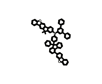 CC1(C)c2cc(N(c3ccc(C4(c5ccccc5)c5ccccc5-c5c(-c6ccc7c(c6)oc6ccccc67)cccc54)cc3)c3cc(-c4ccccc4)cc(-c4ccccc4)c3)ccc2-c2cc3oc4ccccc4c3cc21